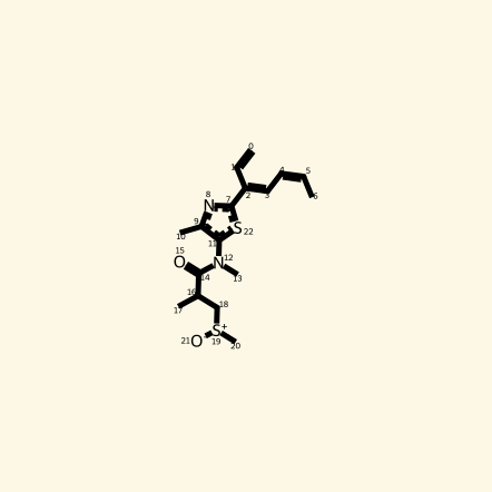 C=C/C(=C\C=C/C)c1nc(C)c(N(C)C(=O)C(C)C[S+](C)[O-])s1